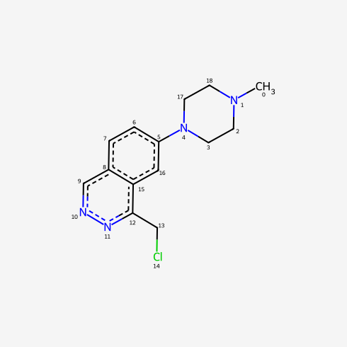 CN1CCN(c2ccc3cnnc(CCl)c3c2)CC1